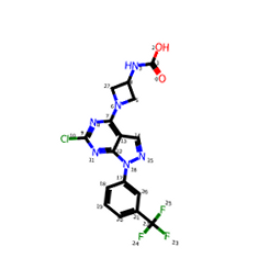 O=C(O)NC1CN(c2nc(Cl)nc3c2cnn3-c2cccc(C(F)(F)F)c2)C1